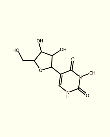 Cn1c(=O)[nH]cc(C2OC(CO)C(O)C2O)c1=O